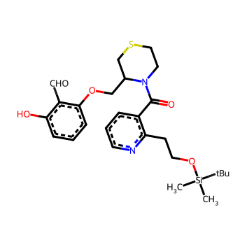 CC(C)(C)[Si](C)(C)OCCc1ncccc1C(=O)N1CCSCC1COc1cccc(O)c1C=O